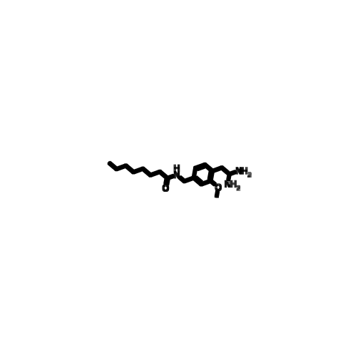 CCCCCCCC(=O)NCc1ccc(CC(N)N)c(OC)c1